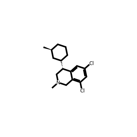 C[C@H]1CCCC([C@H]2CN(C)Cc3c(Cl)cc(Cl)cc32)C1